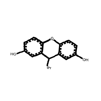 CC(C)C1c2cc(O)ccc2Oc2ccc(O)cc21